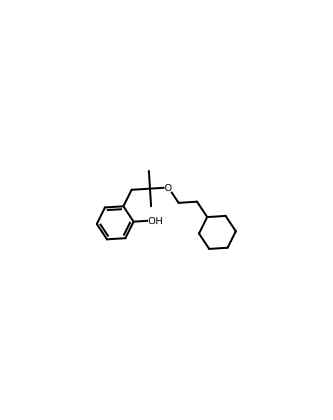 CC(C)(Cc1ccccc1O)OCCC1CCCCC1